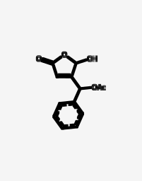 CC(=O)OC(C1=CC(=O)OC1O)c1ccccc1